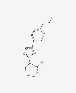 [2H]N1CCCCC1c1ncc(-c2ccc(CCC)cc2)[nH]1